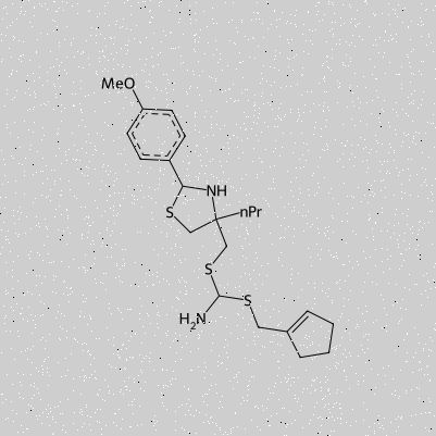 CCCC1(CSC(N)SCC2=CCCC2)CSC(c2ccc(OC)cc2)N1